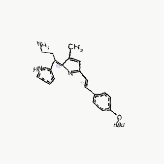 CCCCOc1ccc(/C=C/C2=NC(=C(/CCN)c3ccc[nH]3)/C(C)=C2)cc1